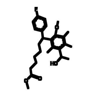 COC(=O)CCCCCC(c1ccc(F)cc1)c1c(C)c(C(C)O)c(C)c(C)c1OC